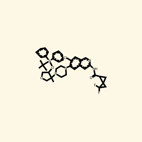 CC1(N2CCN(c3cc4cc(NC(=O)C5CC56CC6(F)F)ncc4cc3Cl)CC2)COCC1O[Si](c1ccccc1)(c1ccccc1)C(C)(C)C